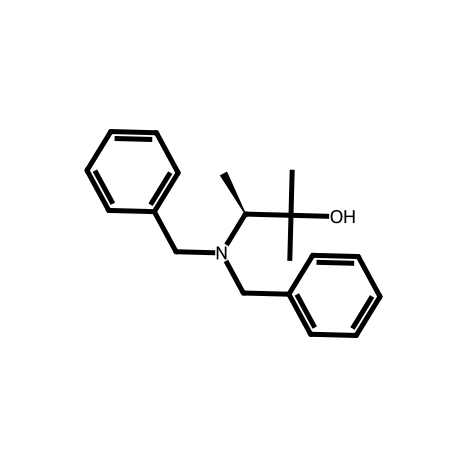 C[C@H](N(Cc1ccccc1)Cc1ccccc1)C(C)(C)O